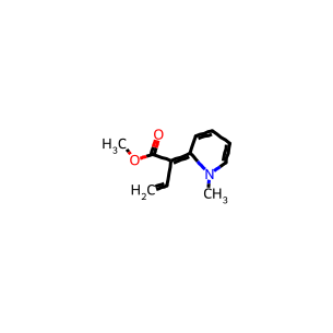 C=C/C(C(=O)OC)=C1/C=CC=CN1C